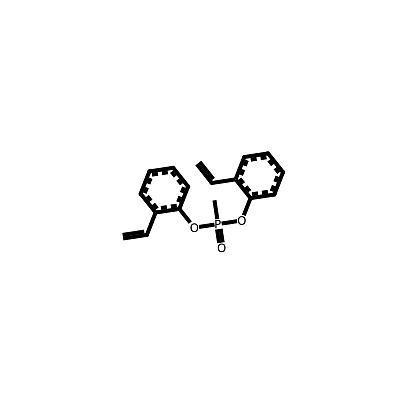 C=Cc1ccccc1OP(C)(=O)Oc1ccccc1C=C